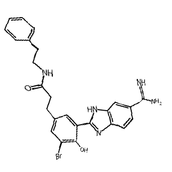 N=C(N)c1ccc2nc(-c3cc(CCC(=O)NCCc4ccccc4)cc(Br)c3O)[nH]c2c1